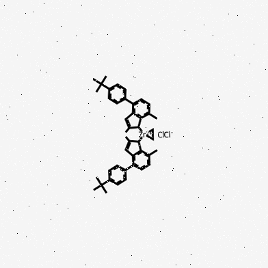 CC1=Cc2c(-c3ccc(C(C)(C)C)cc3)ccc(C)c2[CH]1[Zr+2]1([CH]2C(C)=Cc3c(-c4ccc(C(C)(C)C)cc4)ccc(C)c32)[CH2][CH2]1.[Cl-].[Cl-]